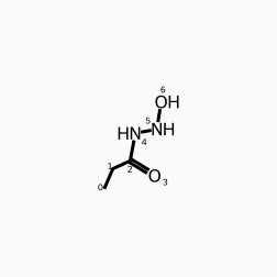 CCC(=O)NNO